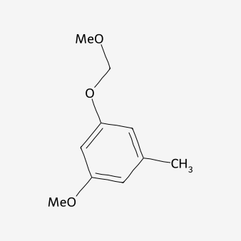 COCOc1cc(C)cc(OC)c1